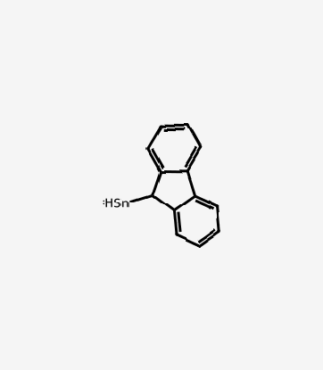 [SnH][CH]1c2ccccc2-c2ccccc21